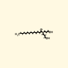 CCCCCCCCCCCCCC(=O)N(CCCO)CCCO